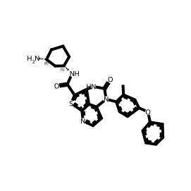 Cc1cc(Oc2ccccc2)ccc1N1C(=O)Nc2c(C(=O)N[C@H]3CCC[C@@H](N)C3)sc3nccc1c23